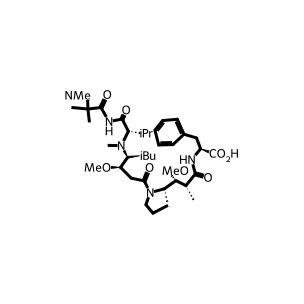 CC[C@H](C)[C@@H]([C@@H](CC(=O)N1CCC[C@H]1[C@H](OC)[C@@H](C)C(=O)N[C@@H](Cc1ccccc1)C(=O)O)OC)N(C)[C@H](C(=O)NC(=O)C(C)(C)NC)C(C)C